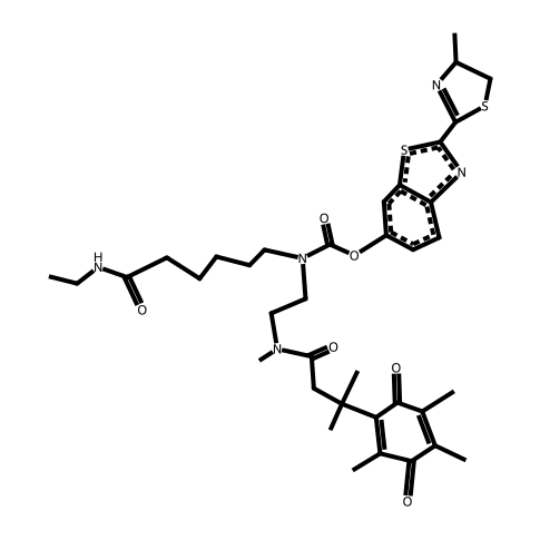 CCNC(=O)CCCCCN(CCN(C)C(=O)CC(C)(C)C1=C(C)C(=O)C(C)=C(C)C1=O)C(=O)Oc1ccc2nc(C3=NC(C)CS3)sc2c1